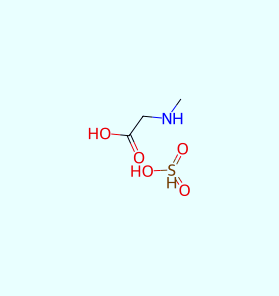 CNCC(=O)O.O=[SH](=O)O